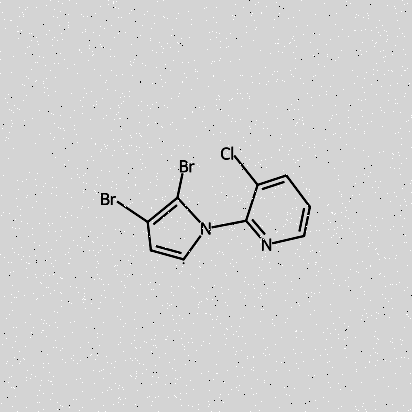 Clc1cccnc1-n1[c]cc(Br)c1Br